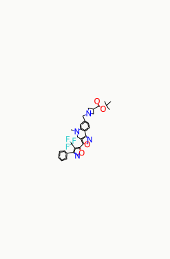 CN1Cc2c(noc2-c2onc(-c3ccccc3)c2C(F)(F)F)-c2ccc(CN3CC(C(=O)OC(C)(C)C)C3)cc21